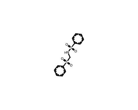 O=S(=O)(CNS(=O)(=O)c1ccccc1)c1ccccc1